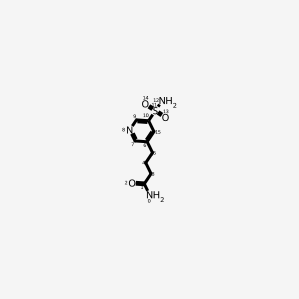 NC(=O)CC[CH]c1cncc(S(N)(=O)=O)c1